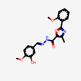 COc1ccc(/C=N/NC(=O)c2oc(-c3ccccc3OC)nc2C)cc1O